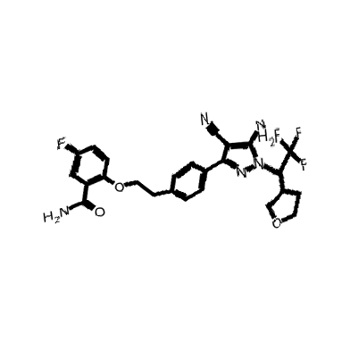 N#Cc1c(-c2ccc(CCOc3ccc(F)cc3C(N)=O)cc2)nn(C(C2CCOC2)C(F)(F)F)c1N